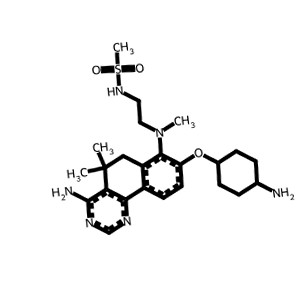 CN(CCNS(C)(=O)=O)c1c(OC2CCC(N)CC2)ccc2c1CC(C)(C)c1c(N)ncnc1-2